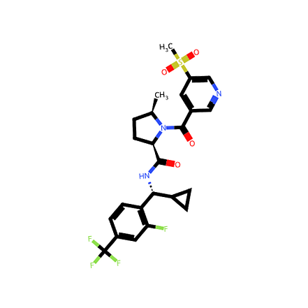 C[C@@H]1CC[C@H](C(=O)N[C@@H](c2ccc(C(F)(F)F)cc2F)C2CC2)N1C(=O)c1cncc(S(C)(=O)=O)c1